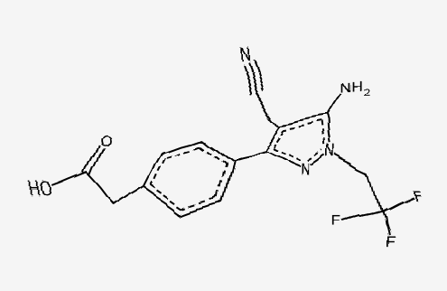 N#Cc1c(-c2ccc(CC(=O)O)cc2)nn(CC(F)(F)F)c1N